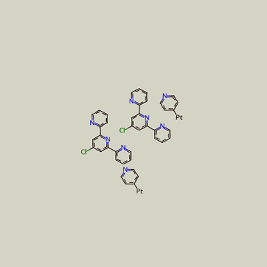 Clc1cc(-c2ccccn2)nc(-c2ccccn2)c1.Clc1cc(-c2ccccn2)nc(-c2ccccn2)c1.[Pt][c]1ccncc1.[Pt][c]1ccncc1